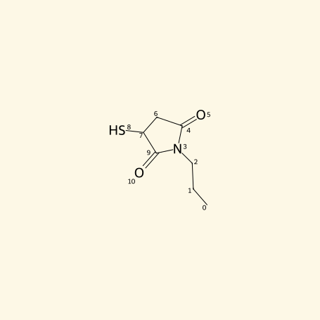 CCCN1C(=O)CC(S)C1=O